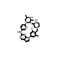 CC1CN(c2ccc(Nc3ncc4ccn(-c5cc(F)c(CN6CCNC(=O)C6)c(F)c5)c4n3)cn2)CC(C)N1